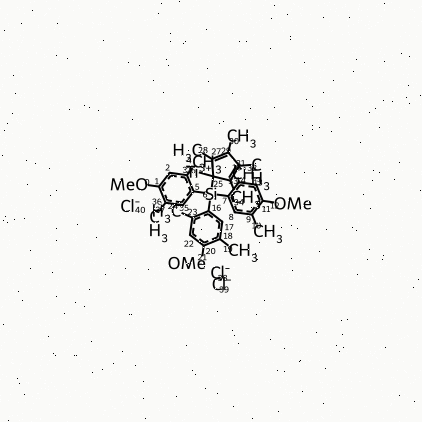 COc1cc(C)c([Si](c2cc(C)c(OC)cc2C)(c2cc(C)c(OC)cc2C)[C]2([Ti+3])C(C)=C(C)C(C)=C2C)cc1C.[Cl-].[Cl-].[Cl-]